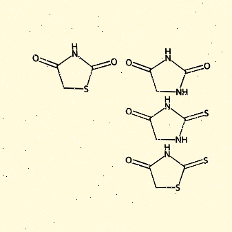 O=C1CNC(=O)N1.O=C1CNC(=S)N1.O=C1CSC(=O)N1.O=C1CSC(=S)N1